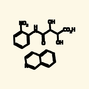 O=C(O)C(O)C(O)C(=O)Nc1ccccc1[N+](=O)[O-].c1ccc2cnccc2c1